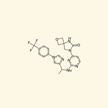 CC(Nc1nccc(N2CC3(COC3)NC2=O)n1)c1cn(-c2ccc(C(F)(F)F)cc2)cn1